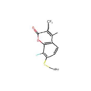 Cc1c(C(F)(F)F)c(=O)oc2c(F)c(SC(C)(C)C)ccc12